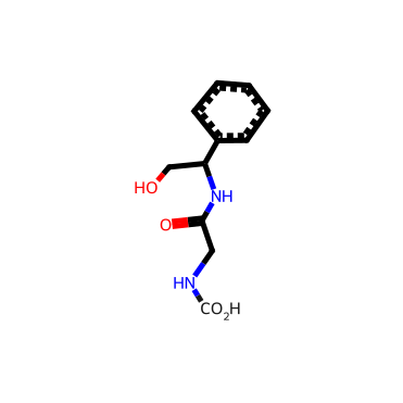 O=C(O)NCC(=O)NC(CO)c1ccccc1